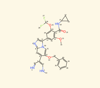 CN/C=C(\C=N)c1cc2ncc(-c3cc(OC)c(C(=O)NC4CC4)c(OC(F)F)c3)n2cc1OCc1ccccc1